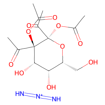 CC(=O)O[C@]1(C(C)=O)O[C@H](CO)[C@H](O)[C@H](O)[C@]1(OC(C)=O)C(C)=O.N=[N+]=N